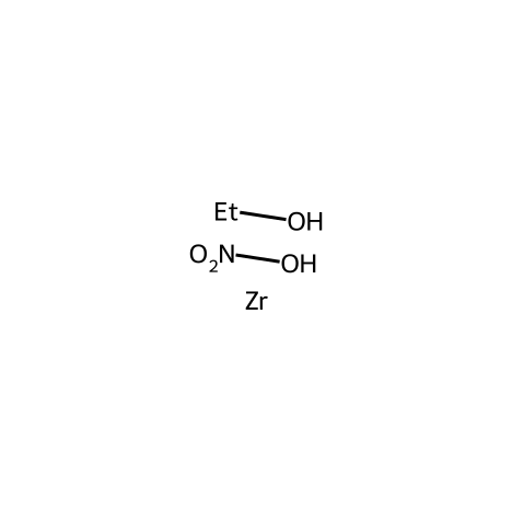 CCO.O=[N+]([O-])O.[Zr]